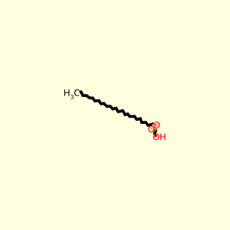 CCCCCCCCCCCCCCCCCCCCCCCCCCS(=O)(=O)CCO